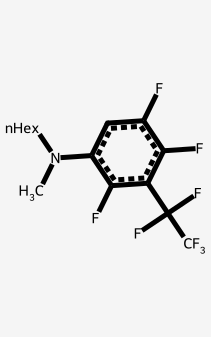 CCCCCCN(C)c1cc(F)c(F)c(C(F)(F)C(F)(F)F)c1F